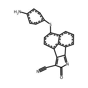 N#CC1=C2C(=NC1=O)c1cccc3c(Sc4ccc(N)cc4)ccc2c13